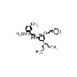 CCCN(CCC)c1cc(N/N=C/c2cc(C)ccc2NC)nc(OCCN2CCOCC2)c1